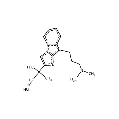 CN(C)CCCn1c2ccccc2n2cc(C(C)(C)C)nc12.Cl.Cl